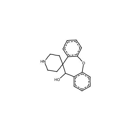 OC1c2ccccc2Oc2ccccc2C12CCNCC2